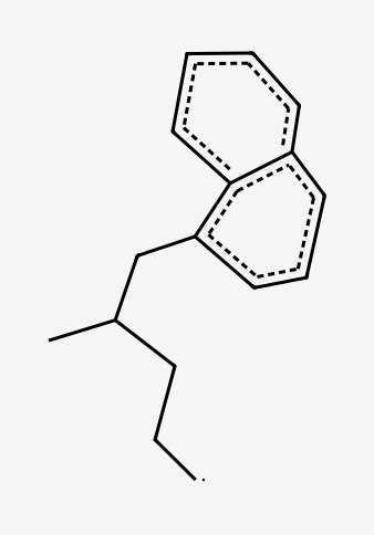 [CH2]CCC(C)Cc1cccc2ccccc12